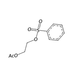 CC(=O)OCCOS(=O)(=O)c1ccccc1